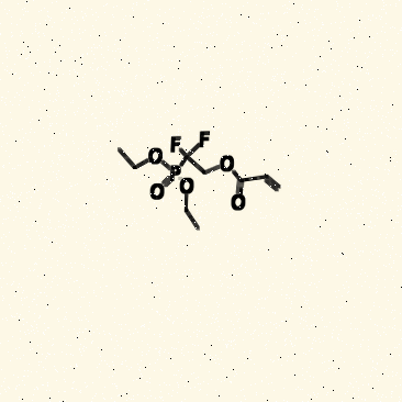 C=CC(=O)OCC(F)(F)P(=O)(OCC)OCC